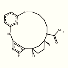 NC(=O)N1CCCCOc2cccc(n2)Nc2cc([nH]n2)[C@H]2CC[C@@H]1C2